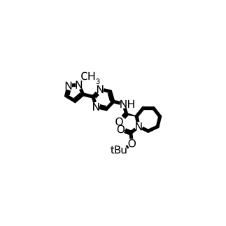 Cn1nccc1-c1ncc(NC(=O)[C@H]2CCCCCN2C(=O)OC(C)(C)C)cn1